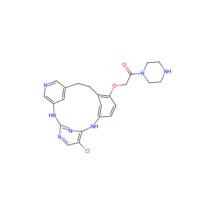 O=C(COc1ccc2cc1CCc1cncc(c1)Nc1ncc(Cl)c(n1)N2)N1CCNCC1